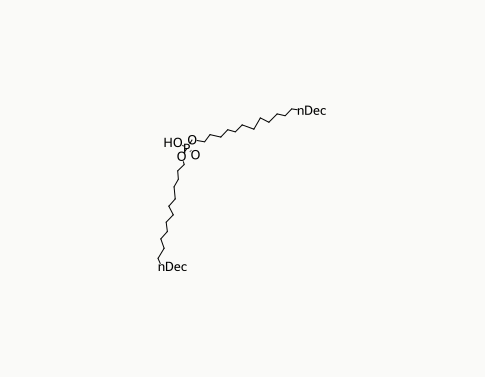 CCCCCCCCCCCCCCCCCCCCCCOP(=O)(O)OCCCCCCCCCCCCCCCCCCCCCC